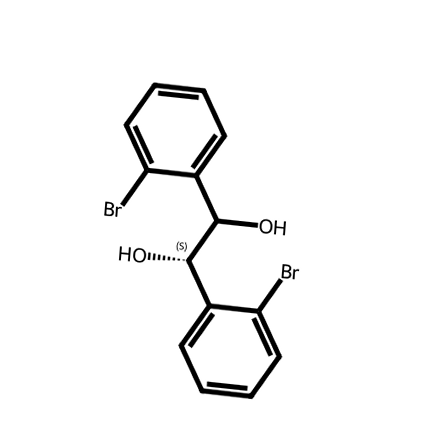 OC(c1ccccc1Br)[C@@H](O)c1ccccc1Br